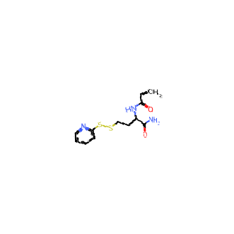 C=CC(=O)NC(CCSSc1ccccn1)C(N)=O